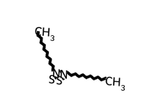 CCCCCCCCCCCCN1CSC(=S)N(CCCCCCCCCCCC)C1